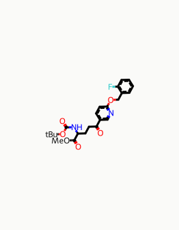 COC(=O)C(CCC(=O)c1ccc(OCc2ccccc2F)nc1)NC(=O)OC(C)(C)C